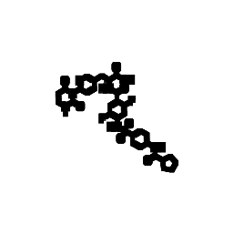 Cn1ccc(=O)n(-c2ccc(C[C@H](NC(=O)c3cc(F)c(NS(=O)(=O)c4ccc(NC(=O)C5CCCC5)cc4)cc3F)C(=O)O)cn2)c1=O